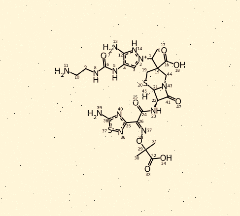 CC([n+]1cc(NC(=O)NCCN)c(N)[nH]1)C1(C(=O)O)CS[C@@H]2[C@H](NC(=O)C(=NOC(C)(C)C(=O)O)c3nsc(N)n3)C(=O)N2C1